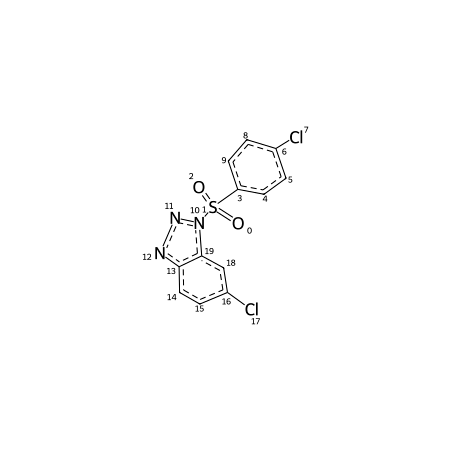 O=S(=O)(c1ccc(Cl)cc1)n1nnc2ccc(Cl)cc21